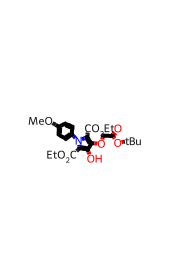 CCOC(=O)c1c(O)c(OCC(=O)OC(C)(C)C)c(C(=O)OCC)n1-c1ccc(OC)cc1